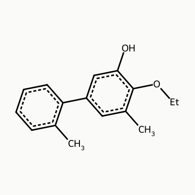 CCOc1c(C)cc(-c2ccccc2C)cc1O